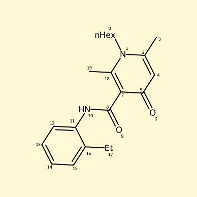 CCCCCCn1c(C)cc(=O)c(C(=O)Nc2ccccc2CC)c1C